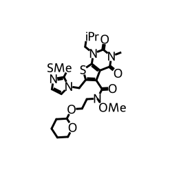 CON(CCOC1CCCCO1)C(=O)c1c(Cn2ccnc2SC)sc2c1c(=O)n(C)c(=O)n2CC(C)C